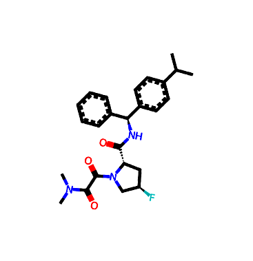 CC(C)c1ccc([C@@H](NC(=O)[C@@H]2C[C@@H](F)CN2C(=O)C(=O)N(C)C)c2ccccc2)cc1